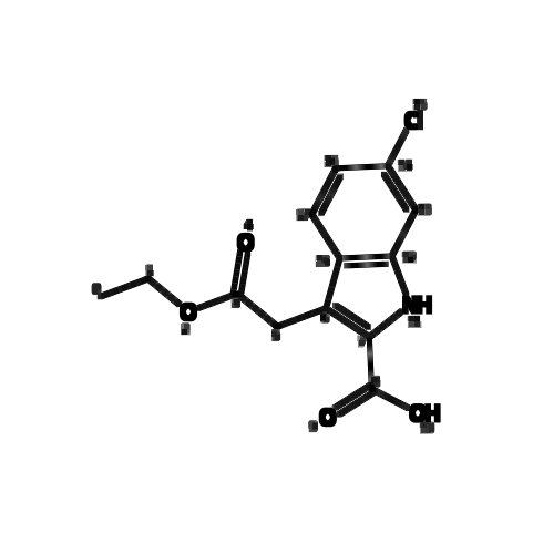 CCOC(=O)Cc1c(C(=O)O)[nH]c2cc(Cl)ccc12